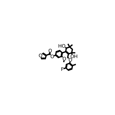 COc1cc(OC(=O)c2ccoc2)ccc1C1=C(COc2cc(F)ccc2C)C(C)(O)CC(C)(C)C1O